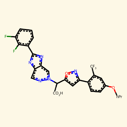 CCCOc1ccc(-c2cc(C(C(=O)O)n3cc4nc(-c5cccc(F)c5F)nc-4cn3)on2)c(C(F)(F)F)c1